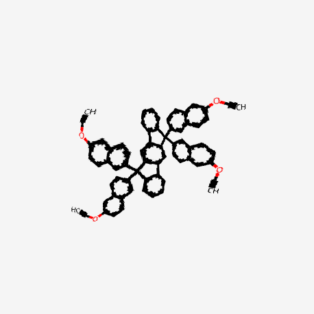 C#COc1ccc2cc(C3(c4ccc5cc(OC#C)ccc5c4)c4ccccc4-c4cc5c(cc43)-c3ccccc3C5(c3ccc4cc(OC#C)ccc4c3)c3ccc4cc(OC#C)ccc4c3)ccc2c1